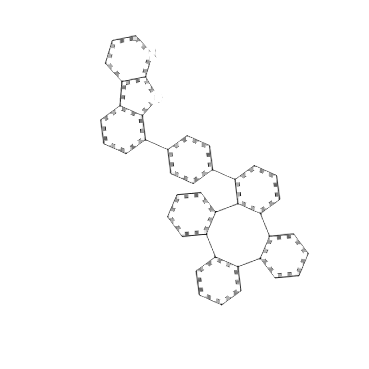 c1ccc2c(c1)-c1ccccc1-c1cccc(-c3ccc(-c4cccc5c4oc4ncccc45)cc3)c1-c1ccccc1-2